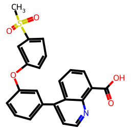 CS(=O)(=O)c1cccc(Oc2cccc(-c3ccnc4c(C(=O)O)cccc34)c2)c1